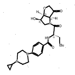 CC(C)(C)C[C@H](NC(=O)c1ccc(N2CCN(C3CC3)CC2)cc1)C(=O)N1C[C@@H](O)[C@H]2OCC(=O)[C@H]21